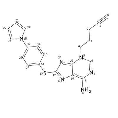 C#CCCCn1cnc(N)c2nc(Sc3ccc(-n4cccc4)cc3)nc1-2